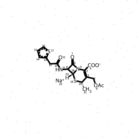 CC(=O)OCC1=C(C(=O)[O-])N2C(=O)C(NC(=O)Cc3cccs3)[C@H]2S[C@H]1C.[Na+]